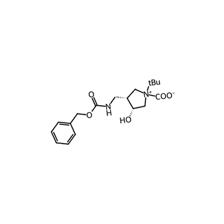 CC(C)(C)[N+]1(C(=O)[O-])C[C@@H](CNC(=O)OCc2ccccc2)[C@@H](O)C1